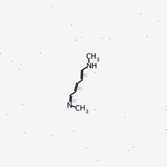 C\N=C/C=C/C=C/NC